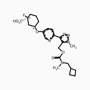 CN(CC1CCC1)C(=O)OCc1c(-c2ccc(O[C@@H]3CCC[C@@](F)(C(=O)O)C3)cn2)nnn1C